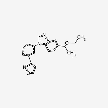 CCOC(C)c1ccc2c(c1)ncn2-c1cccc(-c2ccon2)c1